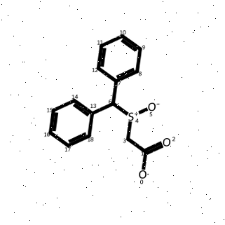 [O]C(=O)C[S+]([O-])C(c1ccccc1)c1ccccc1